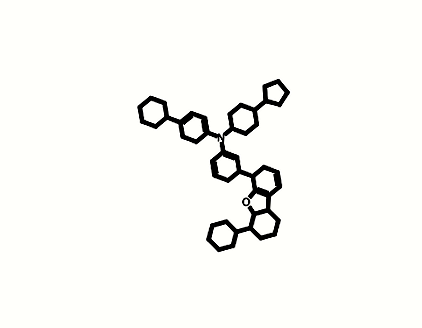 C1=CC(N(C2=CC=C(C3CCCCC3)CC2)C2CCC(C3CCCC3)CC2)=CC(C2CC=CC3=C2OC2C3CCCC2C2CCCCC2)C1